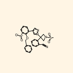 CS(=O)(=O)N1CC(c2ccccc2C#N)(n2cc(-c3cccc([N+](=O)[O-])c3OCc3ccccc3)cn2)C1